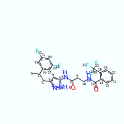 CC(Cc1cc(NC(=O)CCNC(=O)c2ccccc2C(F)(F)F)[nH]n1)c1cc(F)cc(F)c1